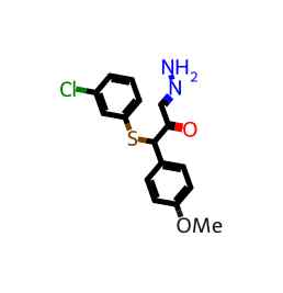 COc1ccc(C(Sc2cccc(Cl)c2)C(=O)C=NN)cc1